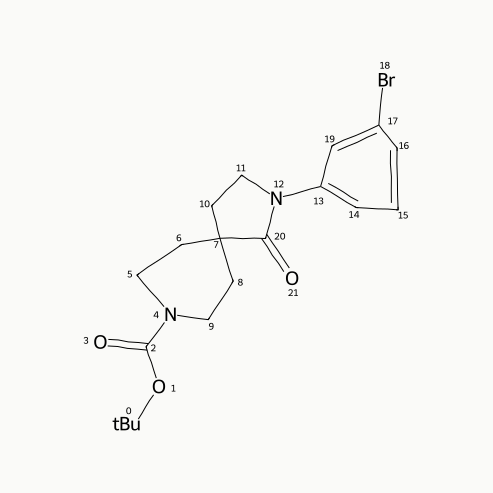 CC(C)(C)OC(=O)N1CCC2(CC1)CCN(c1cccc(Br)c1)C2=O